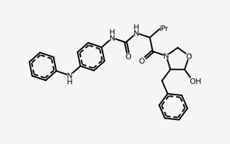 CC(C)C(NC(=O)Nc1ccc(Nc2ccccc2)cc1)C(=O)N1COC(O)C1Cc1ccccc1